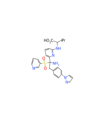 CC(C)C(Nc1cccc(C(N)(Cc2ccc(-n3cccn3)cc2)S(=O)(=O)c2cccnc2)n1)C(=O)O